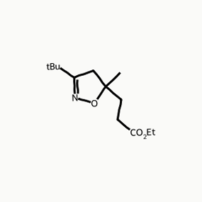 CCOC(=O)CCC1(C)CC(C(C)(C)C)=NO1